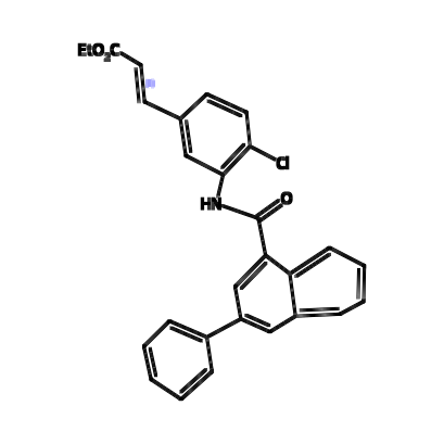 CCOC(=O)/C=C/c1ccc(Cl)c(NC(=O)c2cc(-c3ccccc3)cc3ccccc23)c1